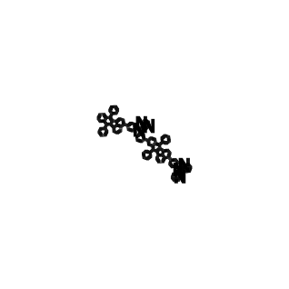 c1ccc(-c2c3c(c(-c4ccccc4)c4ccccc24)-c2ccc(-c4ccc(N(c5cccc(-c6ccc7c(-c8ccccc8)c8c(c(-c9ccccc9)c7c6)-c6cccc7c(-c9ccc(N(c%10ccccn%10)c%10ccccn%10)cc9)ccc-8c67)c5)c5cnccn5)cc4)c4cccc-3c24)cc1